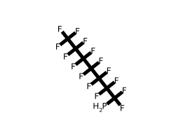 FC(F)(F)C(F)(F)C(F)(F)C(F)(F)C(F)(F)C(F)(F)C(F)(F)P